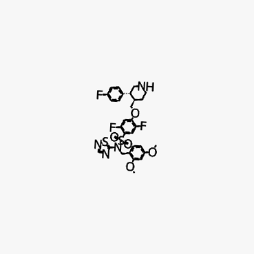 COc1ccc(CN(c2ncns2)S(=O)(=O)c2cc(F)c(OC[C@@H]3CCNC[C@H]3c3ccc(F)cc3)cc2F)c(OC)c1